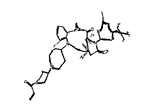 C=CC(=O)N1CC(N2CCC(N3C[C@H]4CC(=O)N(c5cc(C(F)(F)F)cc(C)n5)[C@@H]4C(=O)N(C)c4cccc(F)c43)CC2)C1